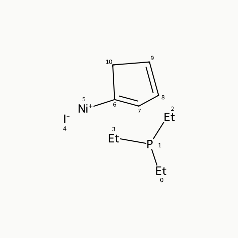 CCP(CC)CC.[I-].[Ni+][C]1=CC=CC1